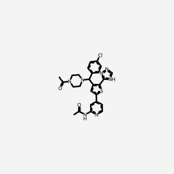 CC(=O)Nc1cc(-c2cc(C(c3ccc(Cl)cc3)N3CCN(C(C)=O)CC3)c(-c3nnc[nH]3)s2)ccn1